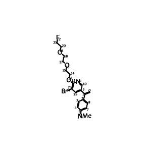 C=C(c1ccc(NC)cc1)c1cnc(OCCOCCOCCF)c(Br)c1